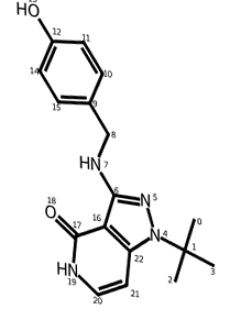 CC(C)(C)n1nc(NCc2ccc(O)cc2)c2c(=O)[nH]ccc21